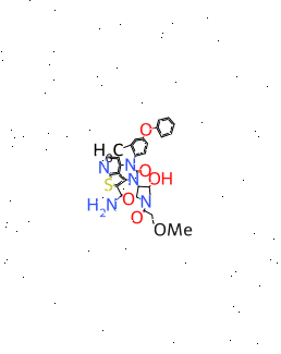 COCCC(=O)N1C[C@H](O)[C@@H](N2C(=O)N(c3ccc(Oc4ccccc4)cc3C)c3ccnc4sc(C(N)=O)c2c34)C1